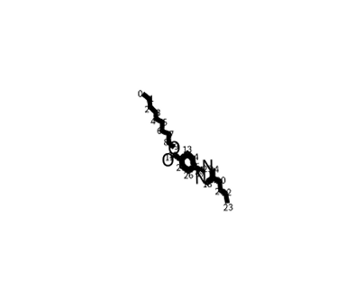 CCCCCCCCCOC(=O)c1ccc(-c2ncc(CCCC)cn2)cc1